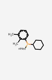 CCCCCCP(c1cccc(C)c1C)C1CCCCC1